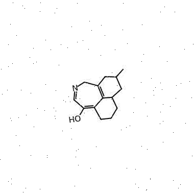 CC1CC2=C3C(=C(O)C=NC2)CCCC3C1